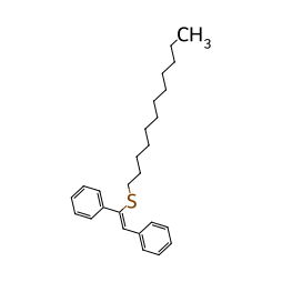 CCCCCCCCCCCCSC(=Cc1ccccc1)c1ccccc1